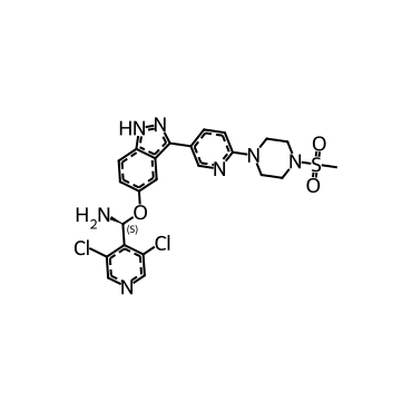 CS(=O)(=O)N1CCN(c2ccc(-c3n[nH]c4ccc(O[C@H](N)c5c(Cl)cncc5Cl)cc34)cn2)CC1